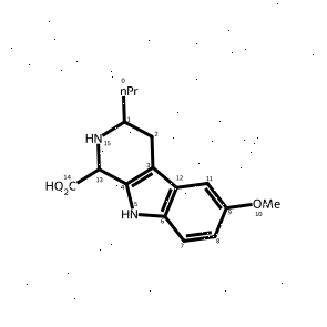 CCCC1Cc2c([nH]c3ccc(OC)cc23)C(C(=O)O)N1